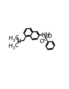 CN(C)Cc1cccc2cc(NS(=O)(=O)c3ccccc3)ccc12